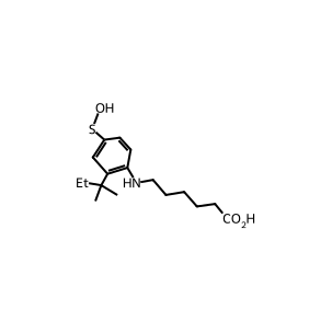 CCC(C)(C)c1cc(SO)ccc1NCCCCCC(=O)O